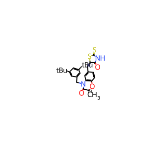 C[C@@H]1Oc2ccc(/C=C3/SC(=S)NC3=O)cc2N(Cc2cc(C(C)(C)C)cc(C(C)(C)C)c2)C1=O